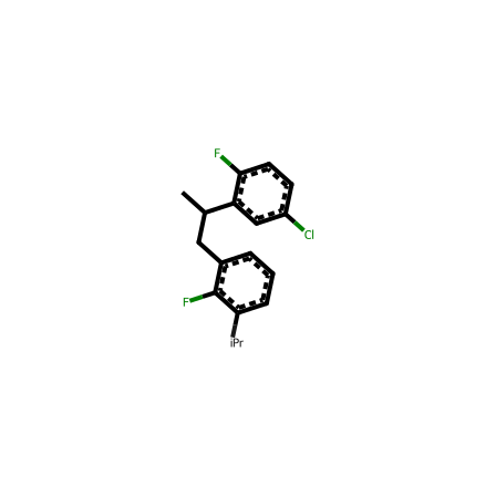 CC(C)c1cccc(CC(C)c2cc(Cl)ccc2F)c1F